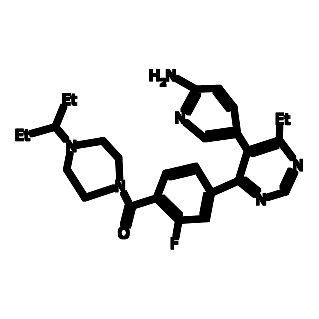 CCc1ncnc(-c2ccc(C(=O)N3CCN(C(CC)CC)CC3)c(F)c2)c1-c1ccc(N)nc1